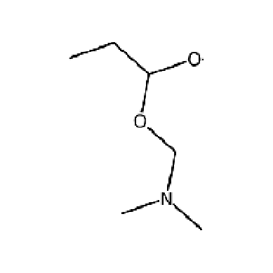 CCC([O])OCN(C)C